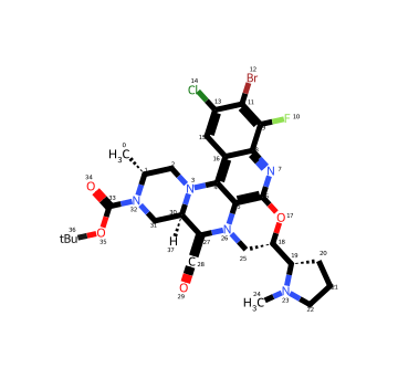 C[C@@H]1CN2c3c4c(nc5c(F)c(Br)c(Cl)cc35)O[C@H]([C@@H]3CCCN3C)CN4C(=C=O)[C@H]2CN1C(=O)OC(C)(C)C